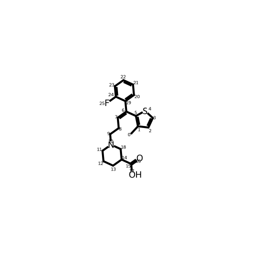 Cc1ccsc1C(=CCCN1CCCC(C(=O)O)C1)c1ccccc1F